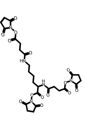 O=C(CCC(=O)ON1C(=O)CCC1=O)NCCCCC(NC(=O)CCC(=O)ON1C(=O)CCC1=O)C(=O)ON1C(=O)CCC1=O